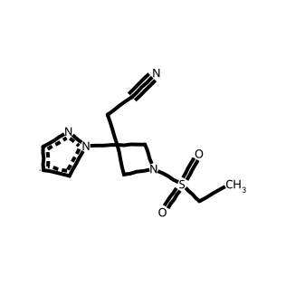 CCS(=O)(=O)N1CC(CC#N)(n2c[c]cn2)C1